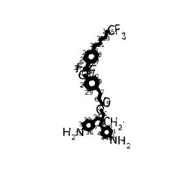 [CH2]C(COC(=O)/C=C/c1ccc(OC(F)(F)c2ccc(CCCCCC(F)(F)F)cc2)cc1)(Cc1ccc(N)cc1)Cc1ccc(N)cc1